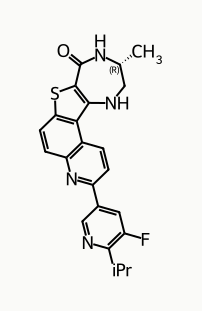 CC(C)c1ncc(-c2ccc3c(ccc4sc5c(c43)NC[C@@H](C)NC5=O)n2)cc1F